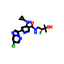 CC(C)(O)[C@H](F)CNC(=O)c1cnc(-c2cnc3cc(Cl)cnn23)cc1NC1CC1